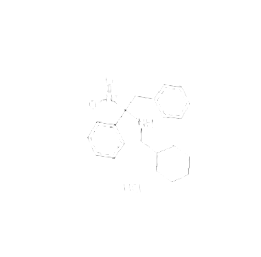 Cl.O=[N+]([O-])C(Cc1ccccc1)(NCC1CCCCC1)c1ccccc1